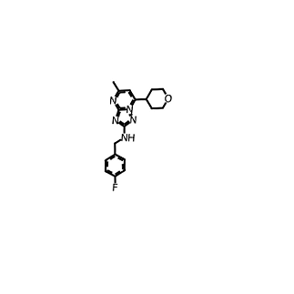 Cc1cc(C2CCOCC2)n2nc(NCc3ccc(F)cc3)nc2n1